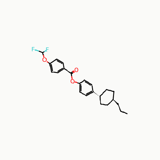 CCC[C@H]1CC[C@H](c2ccc(OC(=O)c3ccc(OC(F)F)cc3)cc2)CC1